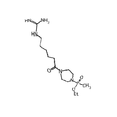 CCOP(C)(=O)N1CCN(C(=O)CCCCCNC(=N)N)CC1